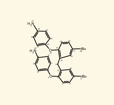 CCCCc1ccc(Oc2ccc(N)cc2)c(Cc2cc(CCCC)ccc2Oc2ccc(N)cc2)c1